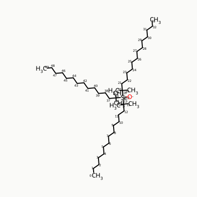 CCCCCCCCCCCCCC(C)(C)[Si]([O])(C(C)(C)CCCCCCCCCCCCC)C(C)(C)CCCCCCCCCCCCC